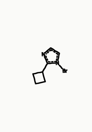 Brn1ccnc1C1CCC1